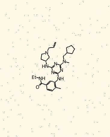 C=CCN1CC[C@H](Nc2nc(Nc3cc(C(=O)NCC)ccc3C)nc(N(C)CC3CCCC3)n2)C1